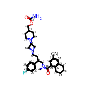 CN(CC(CCN1CC(N2CCC(COC(N)=O)CC2)C1)c1ccc(F)cc1)C(=O)c1cc(C#N)cc2c1CCCC2